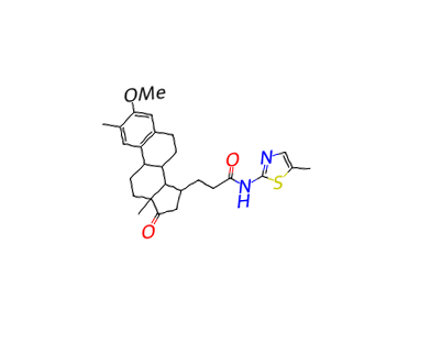 COc1cc2c(cc1C)C1CCC3(C)C(=O)CC(CCC(=O)Nc4ncc(C)s4)C3C1CC2